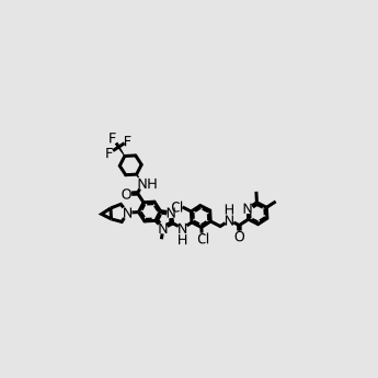 Cc1ccc(C(=O)NCc2ccc(Cl)c(Nc3nc4cc(C(=O)N[C@H]5CC[C@H](C(F)(F)F)CC5)c(N5CC6CC6C5)cc4n3C)c2Cl)nc1C